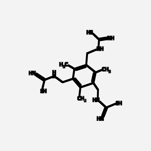 Cc1c(CNC(=N)S)c(C)c(CNC(=N)S)c(C)c1CNC(=N)S